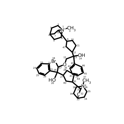 C[N+]12CCC(CC1)CC2C1CCC(C(O)(COC(Br)C(O)(c2ccccc2)C2CCC(C3CC4CC[N+]3(C)CC4)C2)c2ccccc2)C1